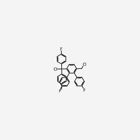 Fc1ccc(-c2c(CCl)ccc(C(Cl)(c3ccc(F)cc3)c3ccc(F)cc3)c2-c2ccc(F)cc2)cc1